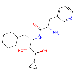 N[C@@H](Cc1cccnc1)C(=O)N[C@@H](CC1CCCCC1)[C@@H](O)[C@@H](O)C1CC1